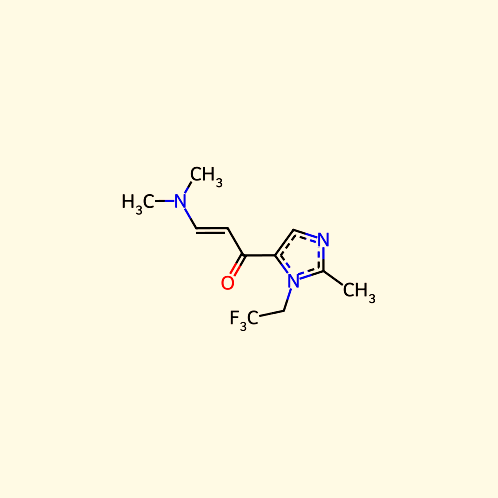 Cc1ncc(C(=O)C=CN(C)C)n1CC(F)(F)F